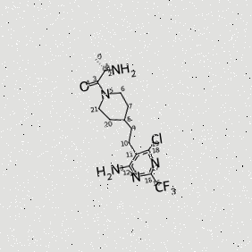 C[C@H](N)C(=O)N1CCC(CCc2c(N)nc(C(F)(F)F)nc2Cl)CC1